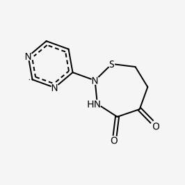 O=C1CCSN(c2ccn[c]n2)NC1=O